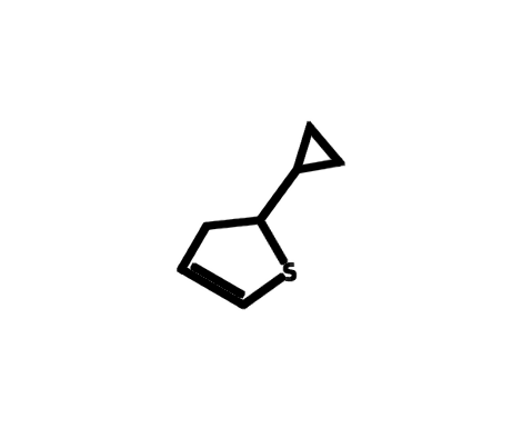 C1=CSC(C2CC2)C1